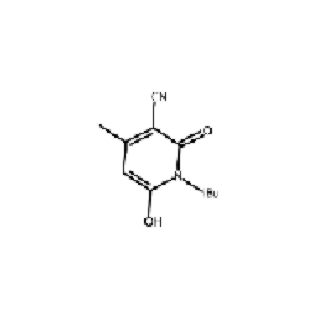 CCC(C)n1c(O)cc(C)c(C#N)c1=O